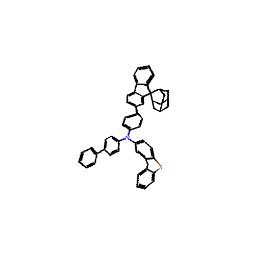 c1ccc(-c2ccc(N(c3ccc(-c4ccc5c(c4)C4(c6ccccc6-5)C5CC6CC(C5)CC4C6)cc3)c3ccc4sc5ccccc5c4c3)cc2)cc1